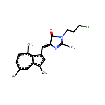 CC1=N/C(=C\c2cc(C)c3cc(C(C)C)ccc(C)c2-3)C(=O)N1CCCCl